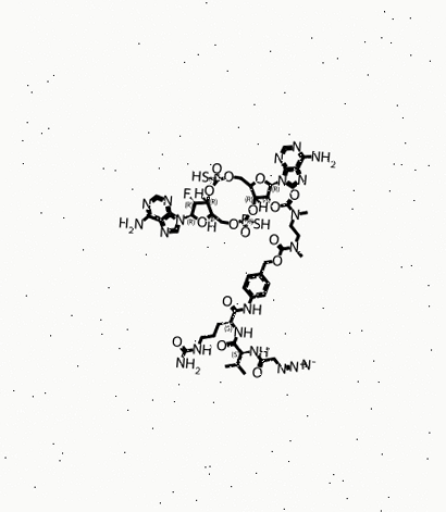 CC(C)[C@H](NC(=O)CN=[N+]=[N-])C(=O)N[C@@H](CCCNC(N)=O)C(=O)Nc1ccc(COC(=O)N(C)CCN(C)C(=O)O[C@@H]2[C@@H]3O[P@](=O)(S)OC[C@H]4O[C@@H](n5cnc6c(N)ncnc65)[C@H](F)[C@@H]4O[P@](=O)(S)OCC3O[C@H]2n2cnc3c(N)ncnc32)cc1